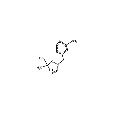 CC(C)(C)ON(C=O)Cc1cccc(N)c1